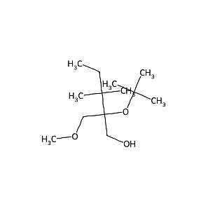 CCC(C)(C)C(CO)(COC)OC(C)(C)C